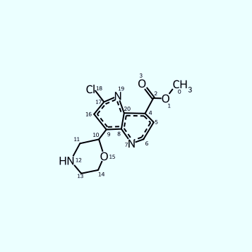 COC(=O)c1ccnc2c(C3CNCCO3)cc(Cl)nc12